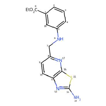 CCOC(=O)c1cccc(NCc2ccc3nc(N)sc3n2)c1